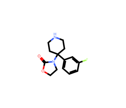 O=C1OCCN1C1(c2cccc(F)c2)CCNCC1